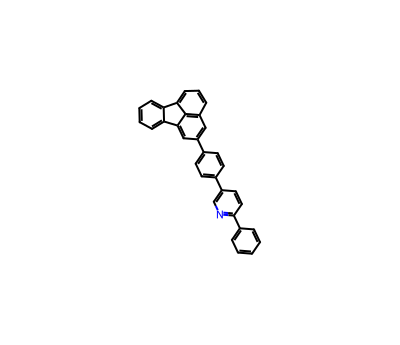 c1ccc(-c2ccc(-c3ccc(-c4cc5c6c(cccc6c4)-c4ccccc4-5)cc3)cn2)cc1